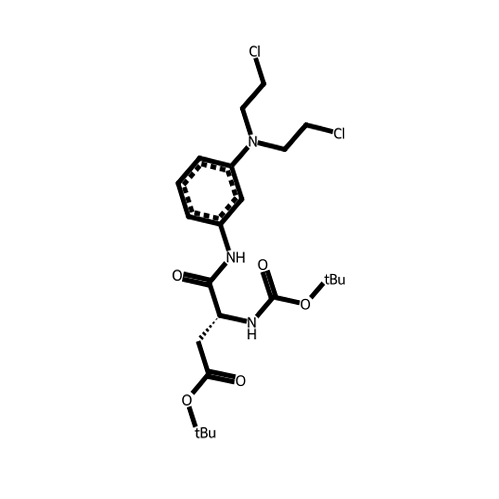 CC(C)(C)OC(=O)C[C@@H](NC(=O)OC(C)(C)C)C(=O)Nc1cccc(N(CCCl)CCCl)c1